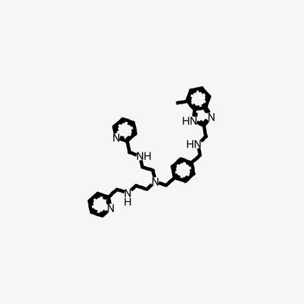 Cc1cccc2nc(CNCc3ccc(CN(CCNCc4ccccn4)CCNCc4ccccn4)cc3)[nH]c12